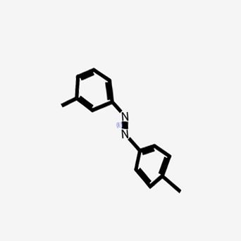 Cc1ccc(/N=N/c2cccc(C)c2)cc1